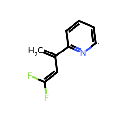 C=C(C=C(F)F)c1ccc[c]n1